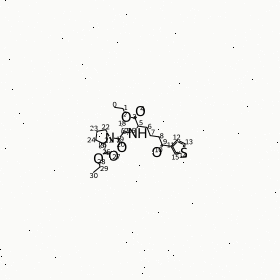 CCOC(=O)C(CCCC(=O)c1ccsc1)N[C@@H](C)C(=O)N1CCC[C@H]1C(=O)OCC